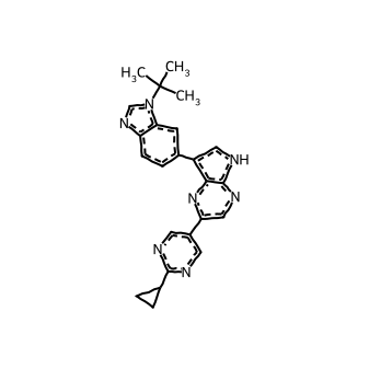 CC(C)(C)n1cnc2ccc(-c3c[nH]c4ncc(-c5cnc(C6CC6)nc5)nc34)cc21